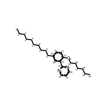 CCCCCCCCCCc1ccc(OCCCCCC)c(-c2ncccn2)c1